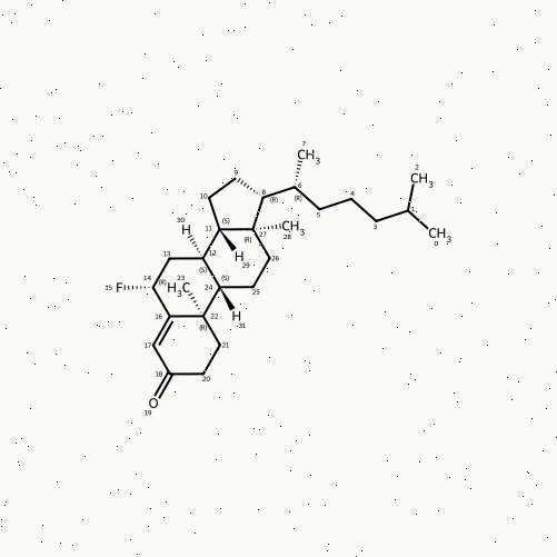 CC(C)CCC[C@@H](C)[C@H]1CC[C@H]2[C@@H]3C[C@@H](F)C4=CC(=O)CC[C@]4(C)[C@H]3CC[C@]12C